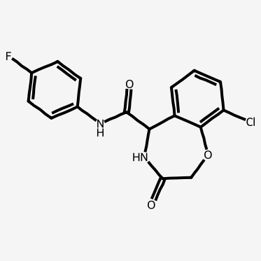 O=C1COc2c(Cl)cccc2C(C(=O)Nc2ccc(F)cc2)N1